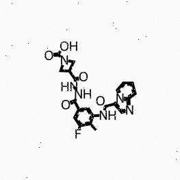 Cc1c(F)cc(C(=O)NNC(=O)C2CN(C(=O)O)C2)cc1NC(=O)c1cnc2ccccn12